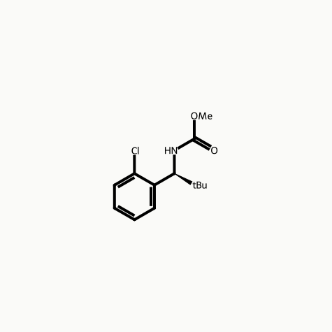 COC(=O)N[C@H](c1ccccc1Cl)C(C)(C)C